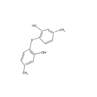 Cc1ccc(Sc2ccc(C)cc2O)c(O)c1